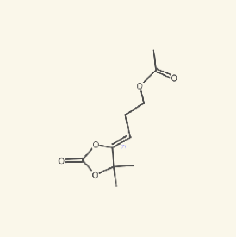 CC(=O)OCC/C=C1\OC(=O)OC1(C)C